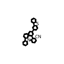 N#Cc1cccc(-n2c3ccccc3c3ccccc32)c1-c1cccc(-c2ccc3sc4ccccc4c3c2)c1